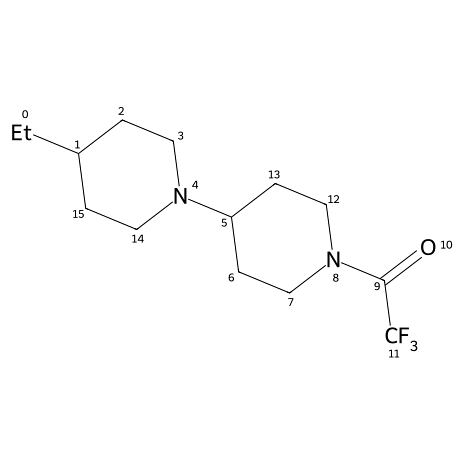 CCC1CCN(C2CCN(C(=O)C(F)(F)F)CC2)CC1